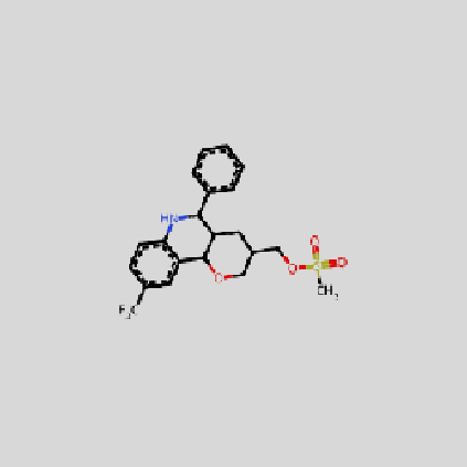 CS(=O)(=O)OCC1COC2c3cc(C(F)(F)F)ccc3NC(c3ccccc3)C2C1